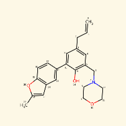 C=CCc1cc(CN2CCOCC2)c(O)c(-c2ccc3oc(C)cc3c2)c1